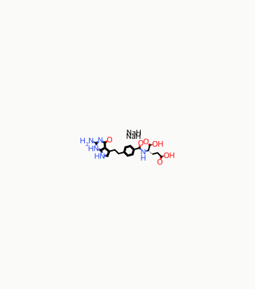 Nc1nc(=O)c2c(CCc3ccc(C(=O)N[C@@H](CCC(=O)O)C(=O)O)cc3)c[nH]c2[nH]1.[NaH].[NaH]